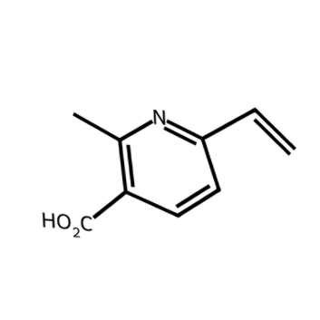 C=Cc1ccc(C(=O)O)c(C)n1